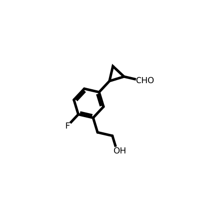 O=CC1CC1c1ccc(F)c(CCO)c1